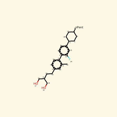 CCCCCC1CCC(c2ccc(-c3ccc(CCC(CO)CO)cc3C)c(F)c2)CC1